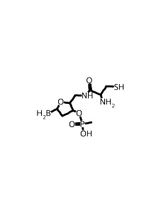 BC1CC(OP(C)(=O)O)C(CNC(=O)C(N)CS)O1